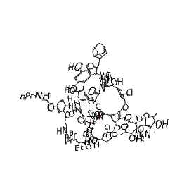 CCCNCCOc1ccc(NC(=O)NC(=O)C[C@@H]2CC(=O)[C@H](NC(=O)[C@H](CC)CC(C)C)[C@H](O)c3ccc(c(Cl)c3)Oc3cc4cc(c3O[C@@H]3O[C@H](CO)[C@@H](O)[C@H](O)[C@H]3O[C@H]3C[C@](C)(N)[C@H](O)[C@H](C)O3)Oc3ccc(cc3Cl)[C@@H](O)[C@@H]3NC(=O)[C@H](CC(=O)[C@@H]4NC2=O)c2ccc(O)c(c2)-c2c(O)cc(O)cc2[C@@H](C(=O)CC2C4CC5CC(C4)CC2C5)NC3=O)c(OCCNCCC)c1